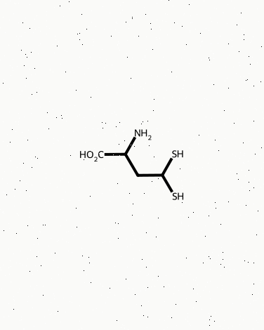 NC(CC(S)S)C(=O)O